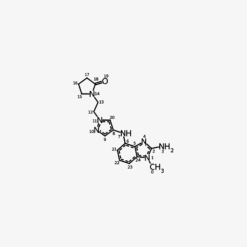 Cn1c(N)nc2c(Nc3cnn(CCN4CCCC4=O)c3)cccc21